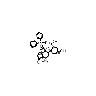 CC(C)(C)[Si](OC[C@@H]1[C@@H]([C@]2(C)CC[C@H](O)C[C@@H]2CO)CC[C@]2(C)C(=O)CC[C@@H]12)(c1ccccc1)c1ccccc1